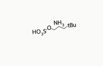 CC(C)(C)CCCOS(=O)(=O)O.N